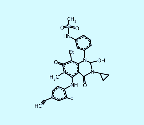 C#Cc1ccc(Nc2c3c(c(CC)c(=O)n2C)N(c2cccc(NS(C)(=O)=O)c2)C(O)N(C2CC2)C3=O)c(F)c1